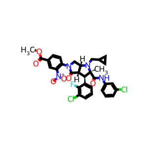 COC(=O)c1ccc(N2C[C@H]3[C@@H](C2=O)[C@H](c2cccc(Cl)c2F)[C@](C)(C(=O)Nc2cccc(Cl)c2)N3CC2CC2)c([N+](=O)[O-])c1